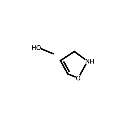 C1=CONC1.CO